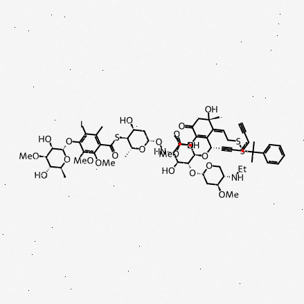 C#C/C=C\C#C[C@H](O[C@@H]1O[C@H](C)[C@@H](NO[C@H]2C[C@H](O)[C@H](SC(=O)c3c(C)c(I)c(O[C@@H]4O[C@@H](C)[C@H](O)[C@@H](OC)[C@H]4O)c(OC)c3OC)[C@@H](C)O2)[C@H](O)[C@H]1O[C@H]1C[C@H](OC)[C@@H](NCC)CO1)C1=C(NC(=O)OC)C(=O)C[C@](C)(O)/C1=C/CSSC(C)(C)c1ccccc1